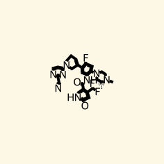 C[C@@H]1CN(c2cc(F)c(C3=CCCN(c4ccnc(C#N)n4)C3)cc2NC(=O)c2c[nH]c(=O)cc2C(F)F)CCN1C